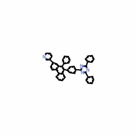 c1ccc(-c2nc(-c3ccccc3)nc(-c3ccc(-c4c(-c5ccccc5)c5cc(-c6cccnc6)ccc5c5ccccc45)cc3)n2)cc1